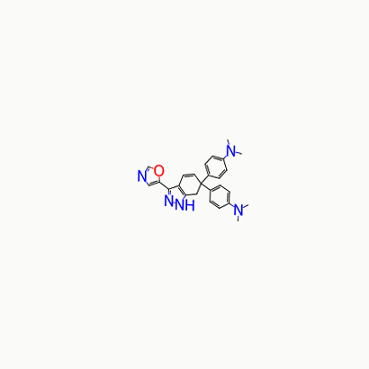 CN(C)c1ccc(C2(c3ccc(N(C)C)cc3)C=Cc3c(-c4cnco4)n[nH]c3C2)cc1